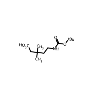 CC(C)(CCNC(=O)OC(C)(C)C)CC(=O)O